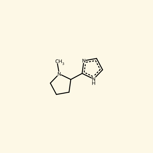 CN1CCCC1c1ncc[nH]1